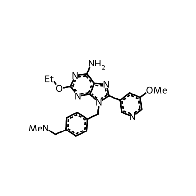 CCOc1nc(N)c2nc(-c3cncc(OC)c3)n(Cc3ccc(CNC)cc3)c2n1